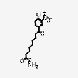 NOC(=O)CCCCCCCC(=O)c1ccc(Cl)c([N+](=O)[O-])c1